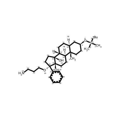 CC(C)(C)[Si](C)(C)O[C@H]1CC[C@@]2(C)[C@@H](CC[C@@H]3[C@@H]2CC[C@]2(C)[C@@](OCCCN)(c4ccccc4)CC[C@]32O)C1